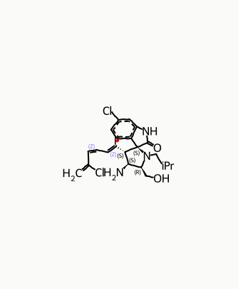 C=C(Cl)/C=C\C=C(/F)[C@H]1[C@H](N)[C@H](CO)N(CC(C)C)[C@@]12C(=O)Nc1cc(Cl)ccc12